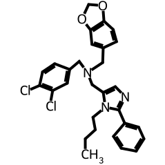 CCCCn1c(CN(Cc2ccc(Cl)c(Cl)c2)Cc2ccc3c(c2)OCO3)cnc1-c1ccccc1